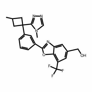 CC1CC(c2cccc(-c3nc4cc(CO)cc(C(F)(F)F)c4o3)c2)(c2nncn2C)C1